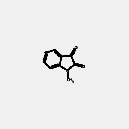 CN1C(=O)C(=O)c2c[c]ccc21